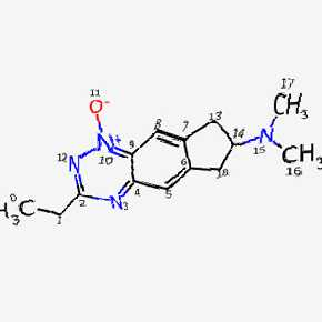 CCc1nc2cc3c(cc2[n+]([O-])n1)CC(N(C)C)C3